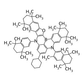 Cc1cc2c(cc1N1c3cc4c(cc3B3c5oc6cc7c(cc6c5N(c5ccc6c(c5)C(C)(C)CCC6(C)C)c5cc(C6CCCCC6)cc1c53)C(C)(C)CCC7(C)C)C(C)(C)CCC4(C)C)C(C)(C)CCC2(C)C